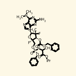 CC(C)OC(=O)C(C)NP(=O)(OC[C@@]1(F)O[C@@H](n2cnc3c(N(C)C)nc(N)nc32)[C@](C)(F)[C@@H]1OC(=O)OCc1ccccc1)Oc1ccccc1